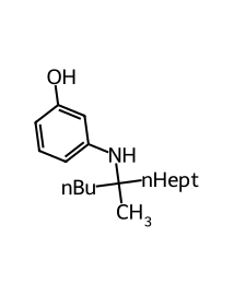 CCCCCCCC(C)(CCCC)Nc1cccc(O)c1